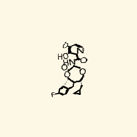 COc1ccnc(C(=O)N[C@H]2COC[C@H](CC3CC3)[C@@H](Cc3ccc(F)cc3)[C@H](C)OC2=O)c1O